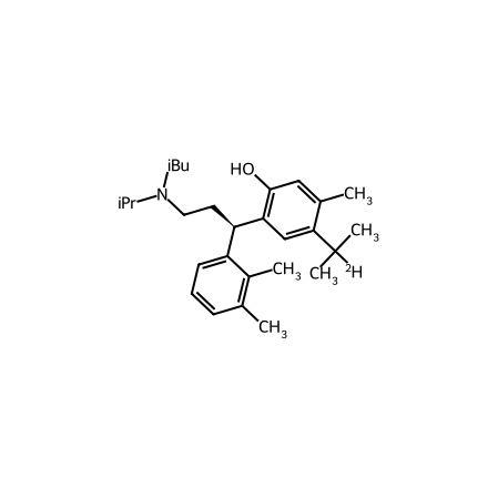 [2H]C(C)(C)c1cc([C@H](CCN(C(C)C)C(C)CC)c2cccc(C)c2C)c(O)cc1C